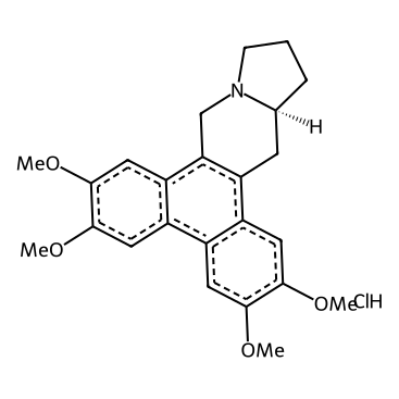 COc1cc2c3c(c4cc(OC)c(OC)cc4c2cc1OC)CN1CCC[C@H]1C3.Cl